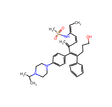 C=C(/C=C\C(=C/C)NS(C)(=O)=O)/C(=C(\CCCO)c1ccccc1)c1ccc(N2CCN(C(C)C)CC2)cc1